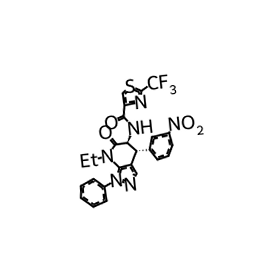 CCN1C(=O)[C@@H](NC(=O)c2csc(C(F)(F)F)n2)[C@H](c2cccc([N+](=O)[O-])c2)c2cnn(-c3ccccc3)c21